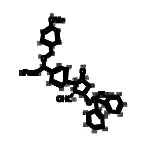 CCCCCC(OCc1ccc(OC)cc1)c1ccc(N2C(=O)C[C@@H](O[Si](c3ccccc3)(c3ccccc3)C(C)(C)C)[C@@H]2C=O)cc1